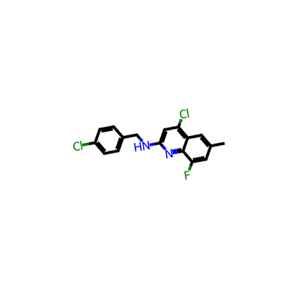 Cc1cc(F)c2nc(NCc3ccc(Cl)cc3)cc(Cl)c2c1